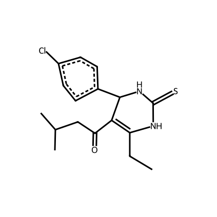 CCC1=C(C(=O)CC(C)C)C(c2ccc(Cl)cc2)NC(=S)N1